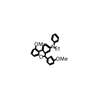 CCN(c1ccccc1)c1ccc2c(c1)C(c1cccc(OC)c1)Oc1cccc(OC)c1-2